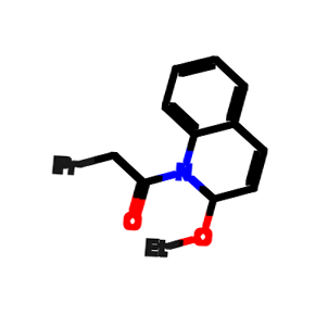 CCOC1C=Cc2ccccc2N1C(=O)CC(C)C